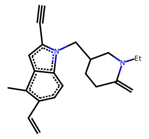 C#Cc1cc2c(C)c(C=C)ccc2n1CC1CCC(=C)N(CC)C1